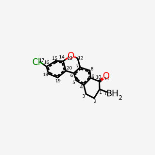 BC1CCc2cc3c(cc2C1=O)COc1cc(Cl)ccc1-3